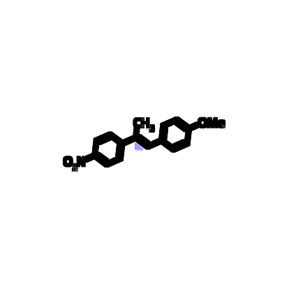 COc1ccc(/C=C(\C)c2ccc([N+](=O)[O-])cc2)cc1